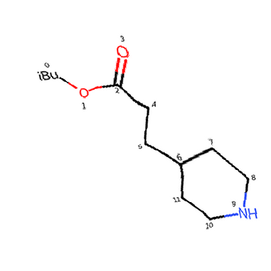 CCC(C)OC(=O)CCC1CCNCC1